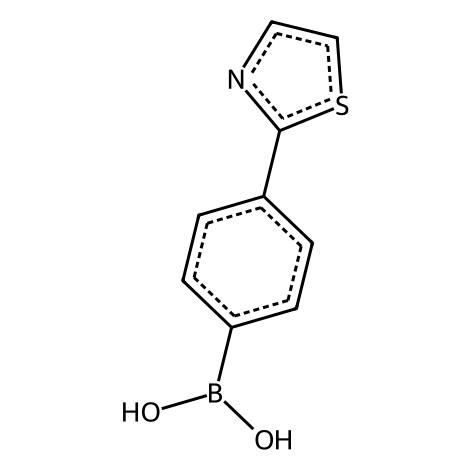 OB(O)c1ccc(-c2nccs2)cc1